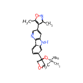 Cc1noc(C)c1-c1cnc2c(c1)[nH]c1cc(C3(O[Si](C)(C)C(C)(C)C)COC3)ccc12